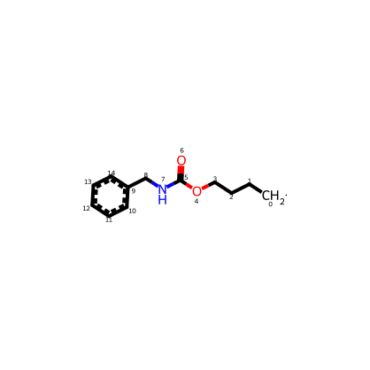 [CH2]CCCOC(=O)NCc1ccccc1